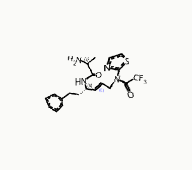 C[C@H](N)C(=O)N[C@H](/C=C/CN(C(=O)C(F)(F)F)c1nccs1)CCc1ccccc1